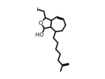 C=C(C)CCCCCC1CCC=CC2C(CI)OC(O)C12